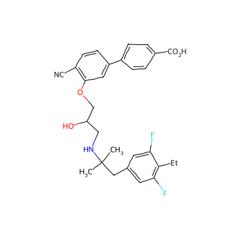 CCc1c(F)cc(CC(C)(C)NCC(O)COc2cc(-c3ccc(C(=O)O)cc3)ccc2C#N)cc1F